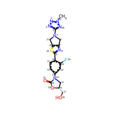 Cn1nnc(N2Cc3nc(-c4ccc(N5C[C@H](CO)OC5=O)cc4F)sc3C2)n1